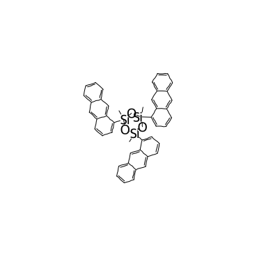 C[Si]1(c2cccc3cc4ccccc4cc23)O[Si](C)(c2cccc3cc4ccccc4cc23)O[Si](C)(c2cccc3cc4ccccc4cc23)O1